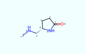 O=C1CC[C@@H](CNI)N1